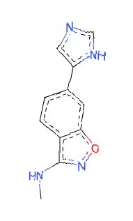 CNc1noc2cc(-c3cnc[nH]3)ccc12